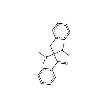 CC(F)C(Cc1ccccc1)(C(=O)c1ccccc1)N(C)C